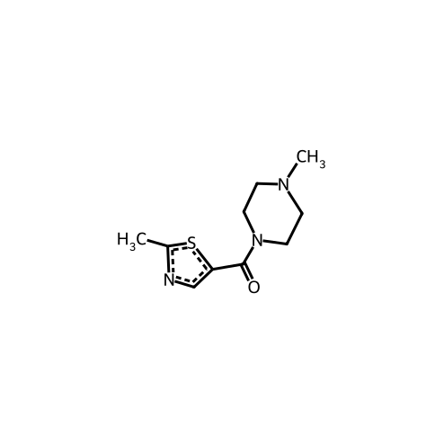 Cc1ncc(C(=O)N2CCN(C)CC2)s1